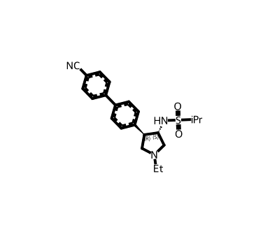 CCN1C[C@@H](NS(=O)(=O)C(C)C)[C@H](c2ccc(-c3ccc(C#N)cc3)cc2)C1